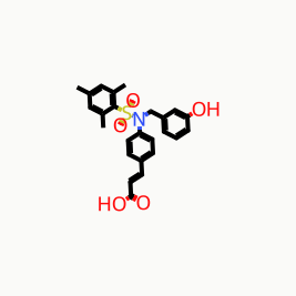 Cc1cc(C)c(S(=O)(=O)N(Cc2cccc(O)c2)c2ccc(C=CC(=O)O)cc2)c(C)c1